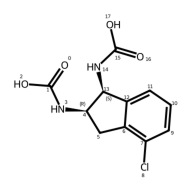 O=C(O)N[C@@H]1Cc2c(Cl)cccc2[C@@H]1NC(=O)O